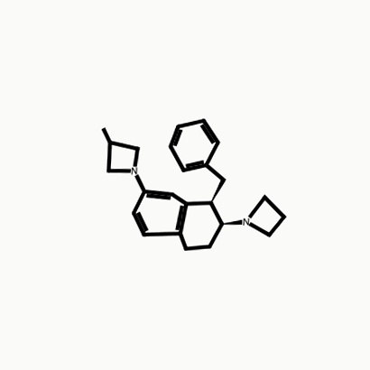 CC1CN(c2ccc3c(c2)[C@@H](Cc2ccccc2)[C@@H](N2CCC2)CC3)C1